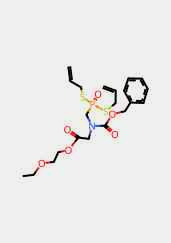 C=CCSP(=O)(CN(CC(=O)OCCOCC)C(=O)OCc1ccccc1)SCC=C